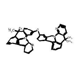 CC1(C)c2ccc(Oc3ccc4c5cccc6c5n(c4c3)-c3ncccc3C6(C)C)cc2N2c3c(cccc31)C1CCCNC12